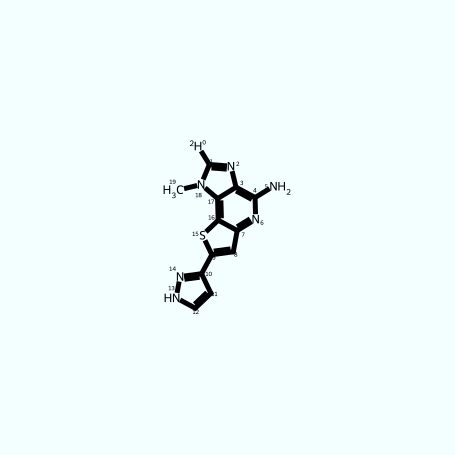 [2H]c1nc2c(N)nc3cc(-c4cc[nH]n4)sc3c2n1C